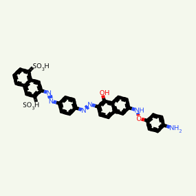 Nc1ccc(ONc2ccc3c(O)c(N=Nc4ccc(N=Nc5cc6c(S(=O)(=O)O)cccc6cc5S(=O)(=O)O)cc4)ccc3c2)cc1